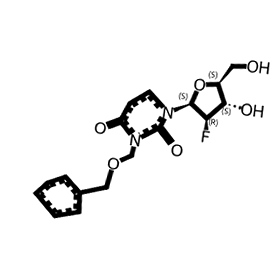 O=c1ccn([C@H]2O[C@@H](CO)[C@H](O)[C@H]2F)c(=O)n1COCc1ccccc1